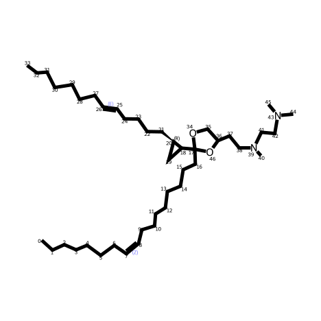 CCCCCCC/C=C\CCCCCCCCC1(C2C[C@H]2CCCC/C=C/CCCCCCC)OCC(CCN(C)CCN(C)C)O1